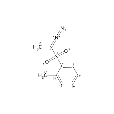 CC(=[N+]=[N-])S(=O)(=O)c1ccccc1C